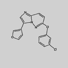 Clc1cccc(Oc2ccc3ncc(-c4ccoc4)n3n2)c1